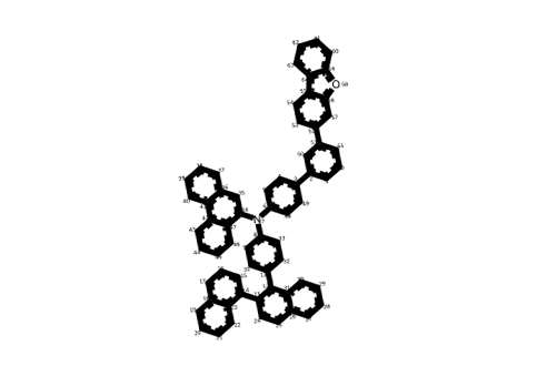 c1cc(-c2ccc(N(c3ccc(-c4c(-c5cccc6ccccc56)ccc5ccccc45)cc3)c3cc4ccccc4c4ccccc34)cc2)cc(-c2ccc3c(c2)oc2ccccc23)c1